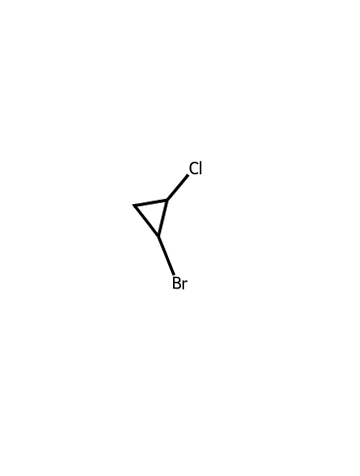 ClC1CC1Br